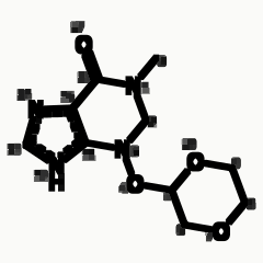 CN1CN(OC2COCCO2)c2[nH]cnc2C1=O